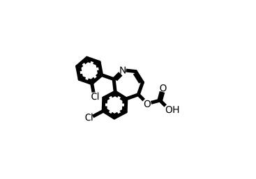 O=C(O)OC1C=CN=C(c2ccccc2Cl)c2cc(Cl)ccc21